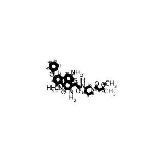 COC(C)CC(=O)N1CCC[C@@H](NC(=O)c2sc3c(N)ccc4c3c2C(N)C(=O)C4(N)c2ccc(Oc3ccccc3)cc2C)C1